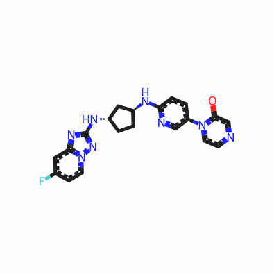 O=c1cnccn1-c1ccc(N[C@H]2CC[C@H](Nc3nc4cc(F)ccn4n3)C2)nc1